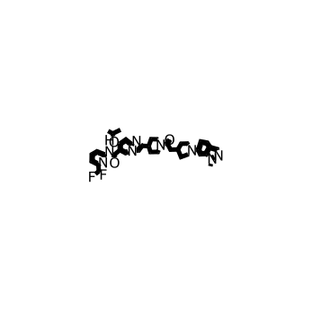 CC(C)Oc1cc2nc(C3CCN(C(=O)CC4CCN(c5ccc6cnn(C)c6c5)CC4)CC3)cn2cc1C(=O)Nc1cccc(C(F)F)n1